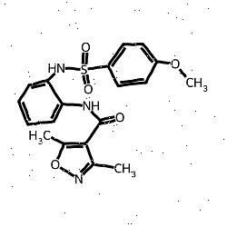 COc1ccc(S(=O)(=O)Nc2ccccc2NC(=O)c2c(C)noc2C)cc1